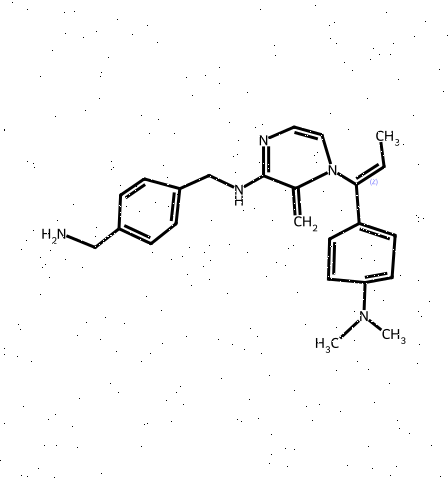 C=C1C(NCc2ccc(CN)cc2)=NC=CN1/C(=C\C)c1ccc(N(C)C)cc1